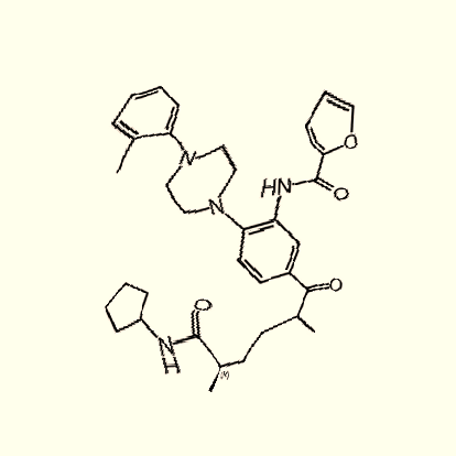 Cc1ccccc1N1CCN(c2ccc(C(=O)C(C)CC[C@@H](C)C(=O)NC3CCCC3)cc2NC(=O)c2ccco2)CC1